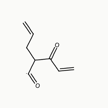 C=CCC([C]=O)C(=O)C=C